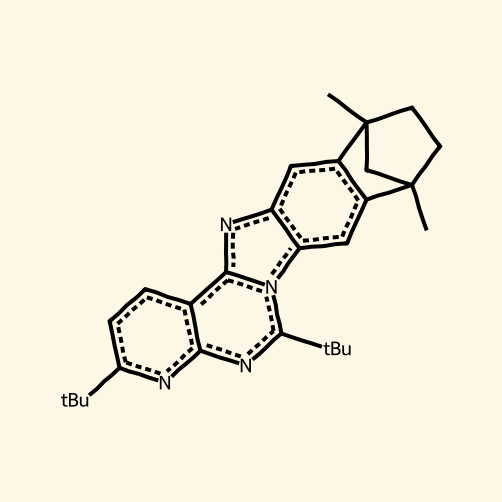 CC(C)(C)c1ccc2c(n1)nc(C(C)(C)C)n1c3cc4c(cc3nc21)C1(C)CCC4(C)C1